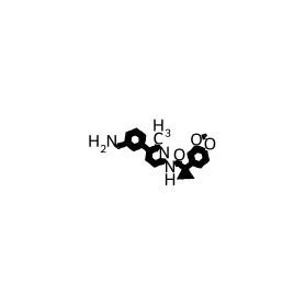 Cc1nc(NC(=O)C2(c3ccc4c(c3)OCO4)CC2)ccc1-c1cccc(CN)c1